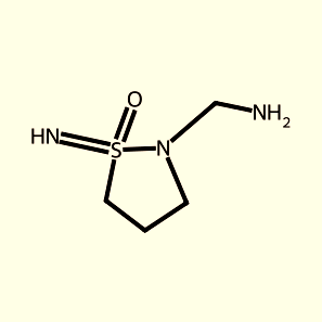 N=S1(=O)CCCN1CN